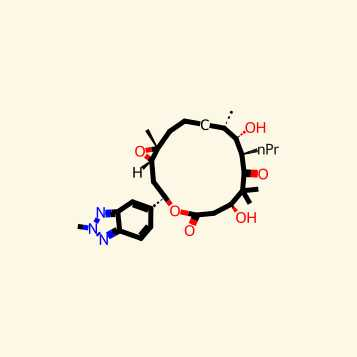 CCC[C@H]1C(=O)C(C)(C)[C@@H](O)CC(=O)O[C@H](c2ccc3nn(C)nc3c2)C[C@@H]2O[C@]2(C)CCC[C@H](C)[C@@H]1O